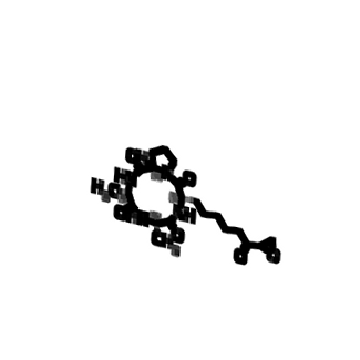 C[C@@H]1NC(=O)[C@H](C)NC(=O)[C@@H]2CCCN2C(=O)[C@H](CCCCCC(=O)C2CO2)NC1=O